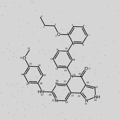 CCCOc1ccccc1-c1cccc(-n2c(=O)c3c[nH]nc3c3cnc(Nc4ccc(OC)cc4)nc32)c1